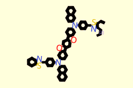 C=Cc1sc(-c2ccc(N(c3ccc4ccccc4c3)c3ccc4c(c3)oc3cc5c(cc34)oc3cc(N(c4ccc(-c6nc7ccccc7s6)cc4)c4ccc6ccccc6c4)ccc35)cc2)nc1/C=C\C